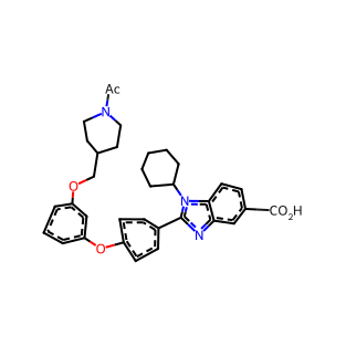 CC(=O)N1CCC(COc2cccc(Oc3ccc(-c4nc5cc(C(=O)O)ccc5n4C4CCCCC4)cc3)c2)CC1